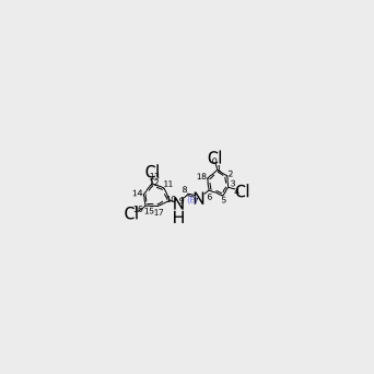 Clc1cc(Cl)cc(/N=C/Nc2cc(Cl)cc(Cl)c2)c1